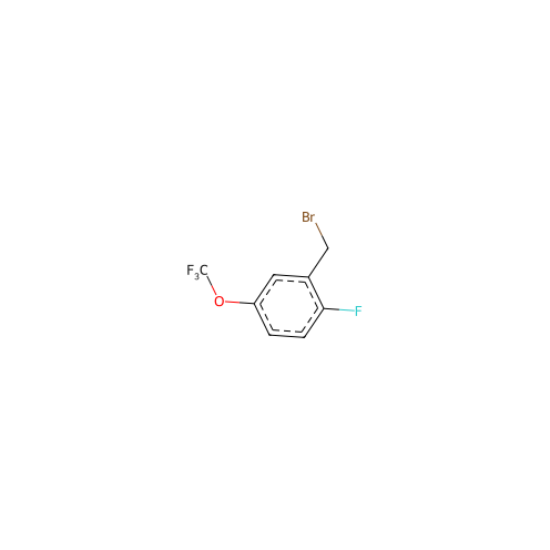 Fc1ccc(OC(F)(F)F)cc1CBr